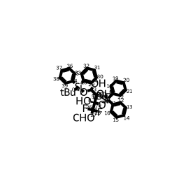 CC(C)(C)[Si](OC(O)[C@@H](O)[C@](O)(O[Si](c1ccccc1)(c1ccccc1)C(C)(C)C)C(F)(F)C=O)(c1ccccc1)c1ccccc1